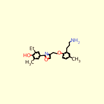 CCc1cc(-c2nc(CCOc3ccc(C)cc3CCCN)co2)cc(C)c1O